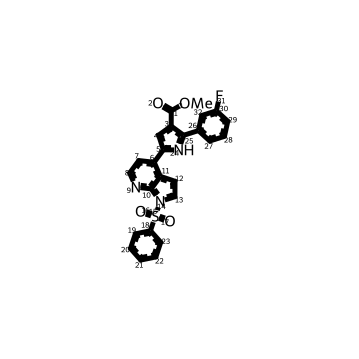 COC(=O)c1cc(-c2ccnc3c2ccn3S(=O)(=O)c2ccccc2)[nH]c1-c1cccc(F)c1